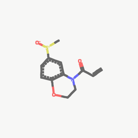 C=CC(=O)N1CCOc2ccc([S+](C)[O-])cc21